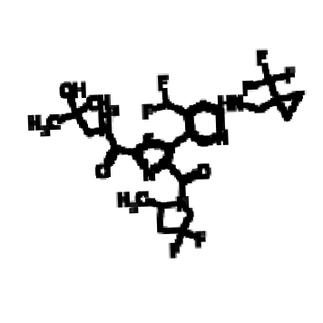 CC1CC(F)(F)CN1C(=O)c1nc(C(=O)NCC(C)(C)O)sc1-c1cnc(NCC2(C(F)(F)F)CC2)cc1C(F)F